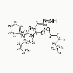 CC(CCOc1cc2c(cc1N=N)sc(=Nc1ccccc1)n2Cc1ccccc1)CC(C)(C)C